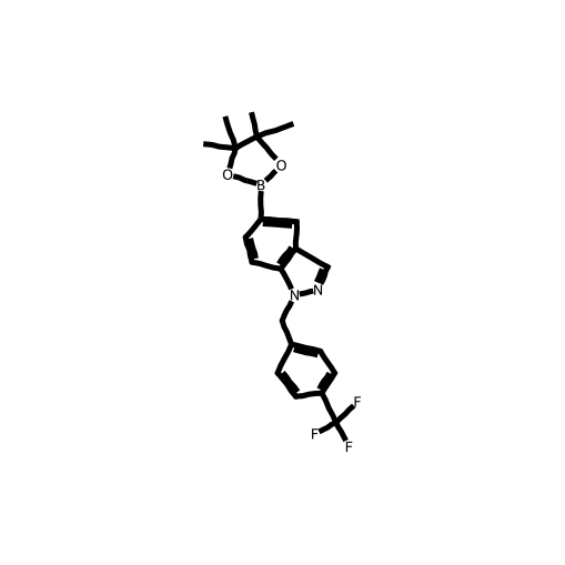 CC1(C)OB(c2ccc3c(cnn3Cc3ccc(C(F)(F)F)cc3)c2)OC1(C)C